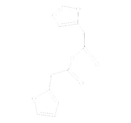 O=C(Cc1ccco1)OC(=O)Cc1ccco1